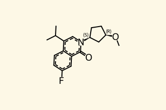 CO[C@@H]1CC[C@H](n2cc(C(C)C)c3ccc(F)cc3c2=O)C1